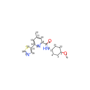 CO[C@H]1CC[C@H](NC(=O)c2cc(C)cc(-c3cncs3)n2)CC1